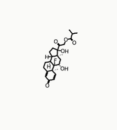 CC(C)C(=O)OCC(=O)[C@@]1(O)CC[C@H]2[C@@H]3CCC4=CC(=O)C=C[C@]4(C)[C@@]3(F)[C@@H](O)C[C@@]21C